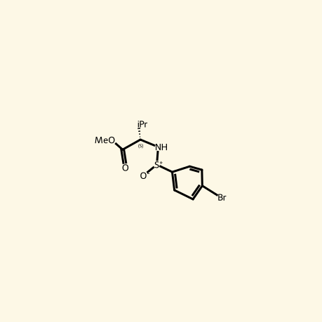 COC(=O)[C@@H](N[S+]([O-])c1ccc(Br)cc1)C(C)C